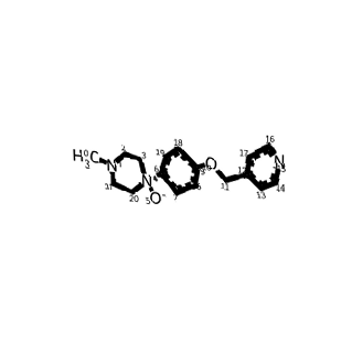 CN1CC[N+]([O-])(c2ccc(OCc3ccncc3)cc2)CC1